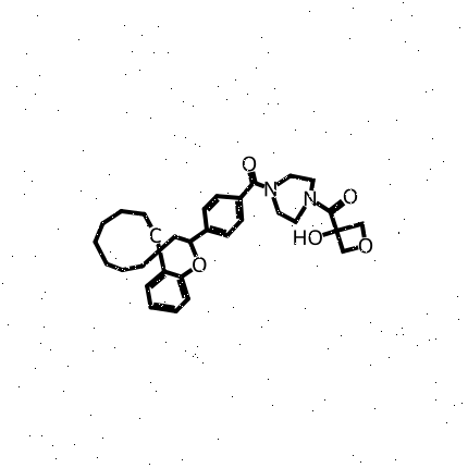 O=C(c1ccc(C2CC3(CCCCCCCC3)c3ccccc3O2)cc1)N1CCN(C(=O)C2(O)COC2)CC1